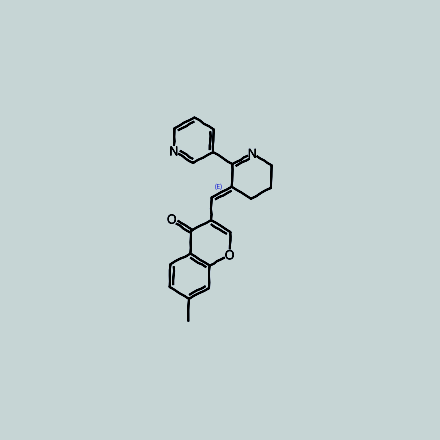 Cc1ccc2c(=O)c(/C=C3\CCCN=C3c3cccnc3)coc2c1